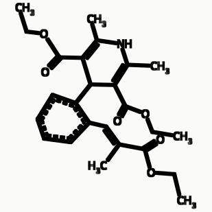 CCOC(=O)C1=C(C)NC(C)=C(C(=O)OCC)C1c1ccccc1/C=C(\C)C(=O)OCC